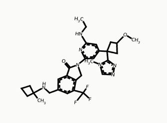 CCNc1cc(C2(c3nncn3C)CC(OC)C2)cc(N2Cc3c(cc(CNC4(C)CCC4)cc3C(F)(F)F)C2=O)n1